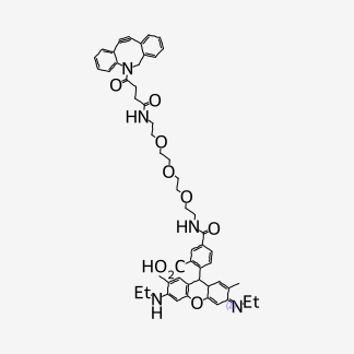 CC/N=C1/C=C2Oc3cc(NCC)c(C)cc3C(c3ccc(C(=O)NCCOCCOCCOCCNC(=O)CCC(=O)N4Cc5ccccc5C#Cc5ccccc54)cc3C(=O)O)C2C=C1C